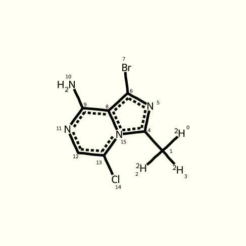 [2H]C([2H])([2H])c1nc(Br)c2c(N)ncc(Cl)n12